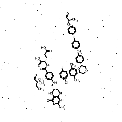 C1COCCO1.CC.CCCC=O.CN(C)C=O.Cc1ccc(C)cc1.Cc1ccccc1.Clc1ccc(Cl)cc1.Clc1ccccc1.Nc1nc(=O)c2c([nH]1)NC[C@@H](CNc1ccc(C(=O)N[C@@H](CCC(=O)O)C(=O)O)cc1)N2.c1ccccc1